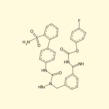 CCCCN(Cc1cccc(C(=N)NC(=O)Oc2ccc(F)cc2)c1)C(=O)Nc1ccc(-c2ccccc2S(N)(=O)=O)cc1